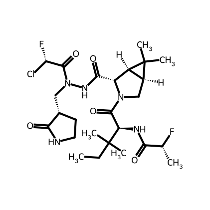 CCC(C)(C)[C@H](NC(=O)[C@@H](C)F)C(=O)N1C[C@H]2[C@@H]([C@H]1C(=O)NN(C[C@@H]1CCNC1=O)C(=O)[C@@H](F)Cl)C2(C)C